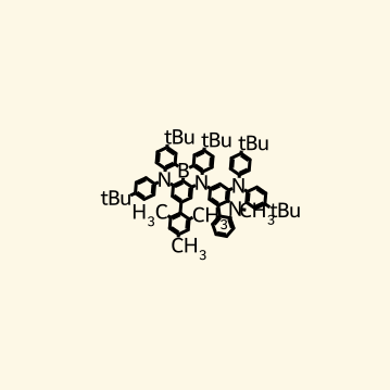 Cc1cc(C)c(-c2cc3c4c(c2)N(c2cc(N(c5ccc(C(C)(C)C)cc5)c5ccc(C(C)(C)C)cc5)c5c(c2)c2ccccc2n5C)c2ccc(C(C)(C)C)cc2B4c2cc(C(C)(C)C)ccc2N3c2ccc(C(C)(C)C)cc2)c(C)c1